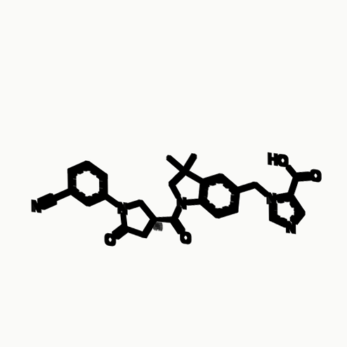 CC1(C)CN(C(=O)[C@H]2CC(=O)N(c3cccc(C#N)c3)C2)c2ccc(Cn3cncc3C(=O)O)cc21